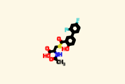 CC(=O)NC(CSC(=O)c1cc(-c2ccc(F)cc2F)ccc1O)C(=O)O